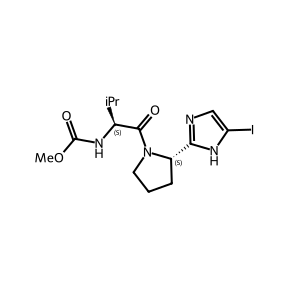 COC(=O)N[C@H](C(=O)N1CCC[C@H]1c1ncc(I)[nH]1)C(C)C